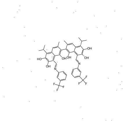 Cc1cc2c(C(C)C)c(O)c(O)c(/C=N/c3cccc(C(F)(F)F)c3)c2c(O)c1-c1c(C)cc2c(C(C)C)c(O)c(O)c(/C=N/c3cccc(C(F)(F)F)c3)c2c1O